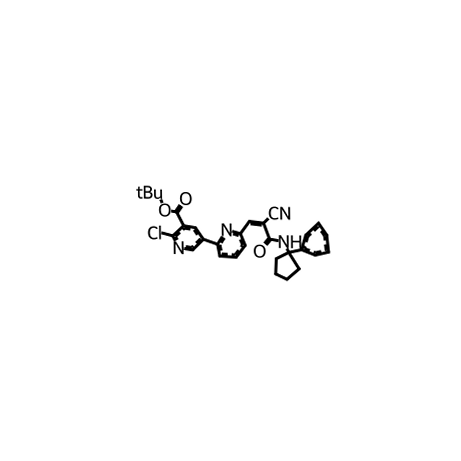 CC(C)(C)OC(=O)c1cc(-c2cccc(C=C(C#N)C(=O)NC3(c4ccccc4)CCCC3)n2)cnc1Cl